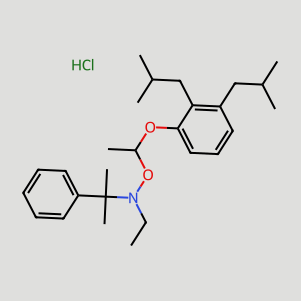 CCN(OC(C)Oc1cccc(CC(C)C)c1CC(C)C)C(C)(C)c1ccccc1.Cl